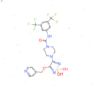 O=C(Nc1cc(C(F)(F)F)cc(C(F)(F)F)c1)N1CCN(C2=NS(O)(O)N=C2OCc2ccncc2)CC1